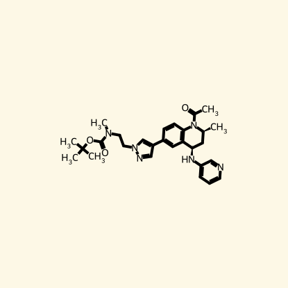 CC(=O)N1c2ccc(-c3cnn(CCN(C)C(=O)OC(C)(C)C)c3)cc2[C@H](Nc2cccnc2)C[C@@H]1C